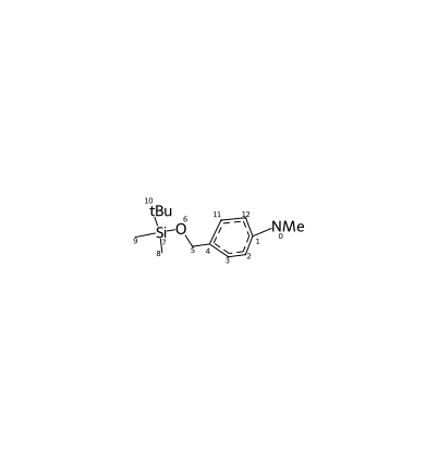 CNc1ccc(CO[Si](C)(C)C(C)(C)C)cc1